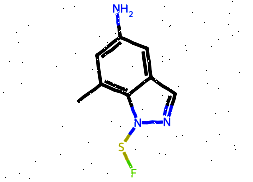 Cc1cc(N)cc2cnn(SF)c12